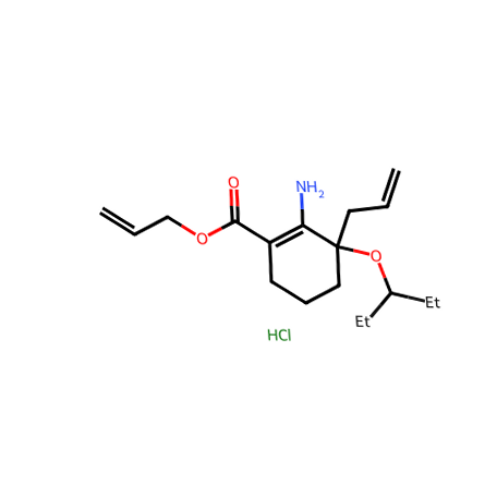 C=CCOC(=O)C1=C(N)C(CC=C)(OC(CC)CC)CCC1.Cl